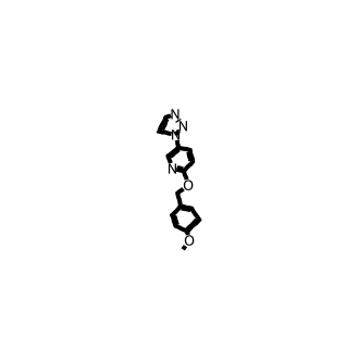 COc1ccc(COc2ccc(-n3ccnn3)cn2)cc1